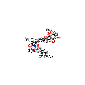 C=C1C[C@H]2C(O)N(C(=O)OCc3cc4c(n3C)C(=O)C=C(OC)C4=O)c3cc(OCCCCCOc4cc5c(cc4OC)C(=O)N4CC(=C)C[C@H]4C(O)N5C(=O)OC(C)(C)C)c(OC)cc3C(=O)N2C1